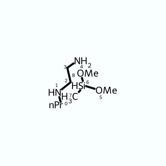 CCCNCCN.CO[SiH](C)OC